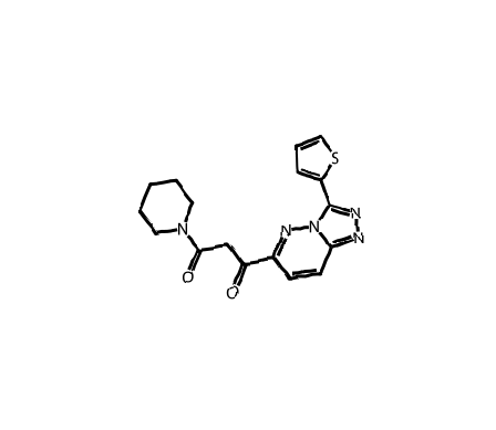 O=C(CC(=O)N1CCCCC1)c1ccc2nnc(-c3cccs3)n2n1